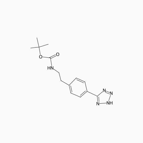 CC(C)(C)OC(=O)NCCc1ccc(-c2nn[nH]n2)cc1